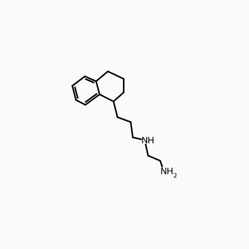 NCCNCCCC1CCCc2ccccc21